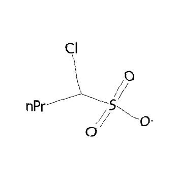 CCCC(Cl)S([O])(=O)=O